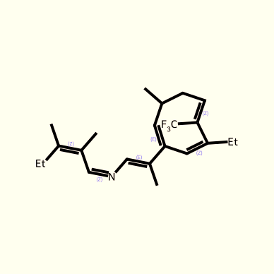 CCC1=C/C(C(/C)=C/N=C\C(C)=C(\C)CC)=C\C(C)C\C=C\1C(F)(F)F